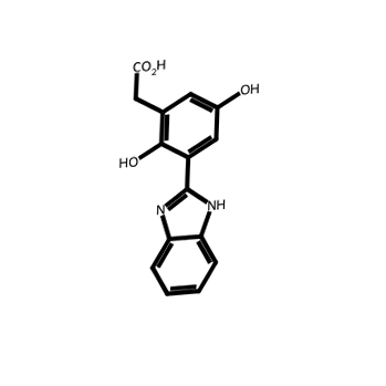 O=C(O)Cc1cc(O)cc(-c2nc3ccccc3[nH]2)c1O